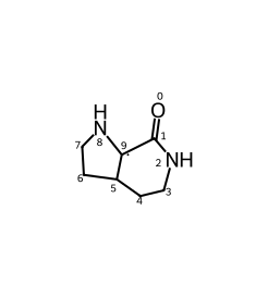 O=C1NCCC2CCN[C]12